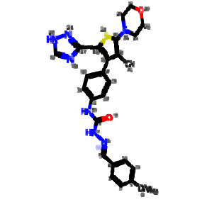 COc1ccc(/C=N/NC(=O)Nc2ccc(-c3c(-c4nc[nH]n4)sc(N4CCOCC4)c3C#N)cc2)cc1